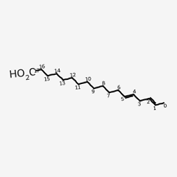 CC=CCC=CCCCCCCCCCCCC(=O)O